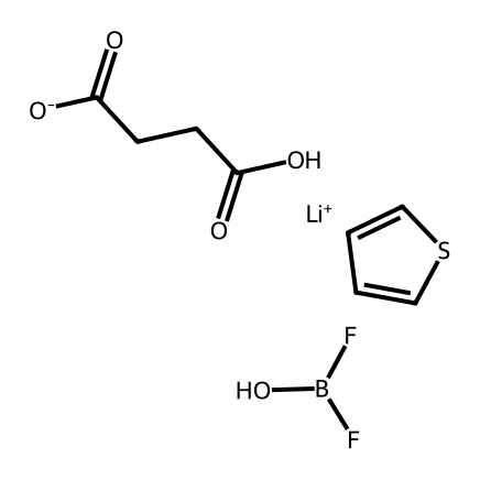 O=C([O-])CCC(=O)O.OB(F)F.[Li+].c1ccsc1